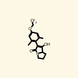 Cc1cc(OCC(F)(F)F)cc(C)c1C1=C(O)C2CCCN2C1=O